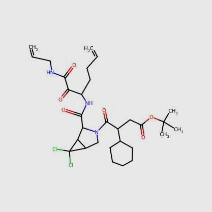 C=CCCC(NC(=O)C1C2C(CN1C(=O)C(CC(=O)OC(C)(C)C)C1CCCCC1)C2(Cl)Cl)C(=O)C(=O)NCC=C